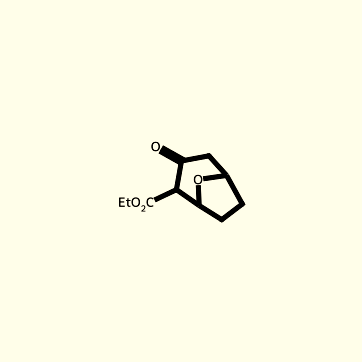 CCOC(=O)C1C(=O)CC2CCC1O2